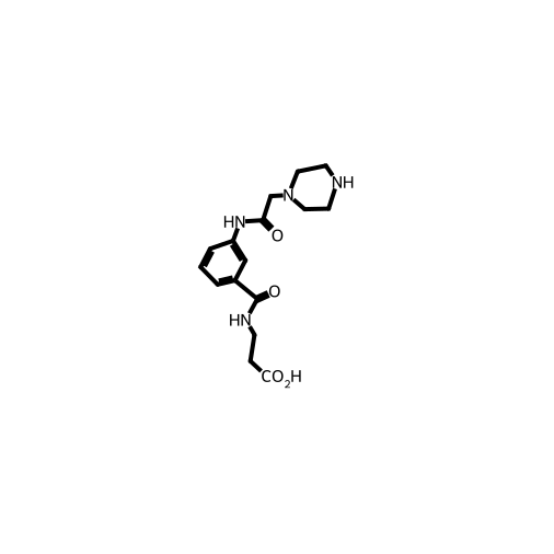 O=C(O)CCNC(=O)c1cccc(NC(=O)CN2CCNCC2)c1